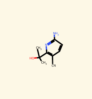 CC(C)(O)c1nc(N)ccc1C#N